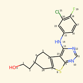 OCCC1CCc2c(sc3ncnc(Nc4ccc(F)c(Cl)c4)c23)C1